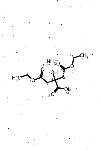 CCOC(=O)CC(O)(CC(=O)OCC)C(=O)O.N